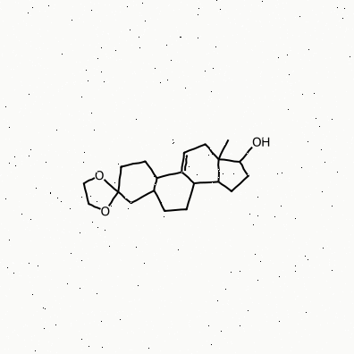 CC12CC=C3C4CCC5(CC4CCC3C1CCC2O)OCCO5